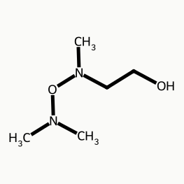 CN(C)ON(C)CCO